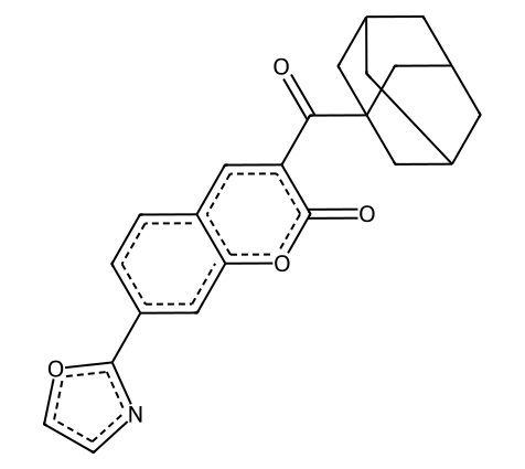 O=C(c1cc2ccc(-c3ncco3)cc2oc1=O)C12CC3CC(CC(C3)C1)C2